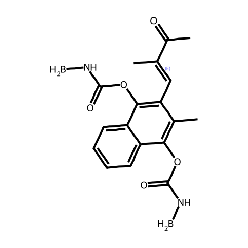 BNC(=O)Oc1c(C)c(/C=C(\C)C(C)=O)c(OC(=O)NB)c2ccccc12